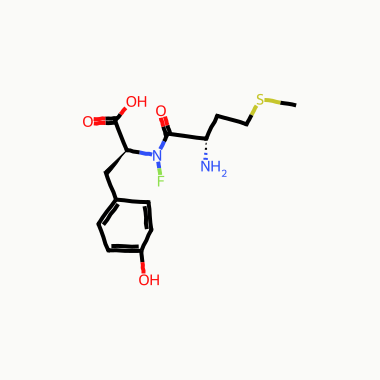 CSCC[C@H](N)C(=O)N(F)[C@@H](Cc1ccc(O)cc1)C(=O)O